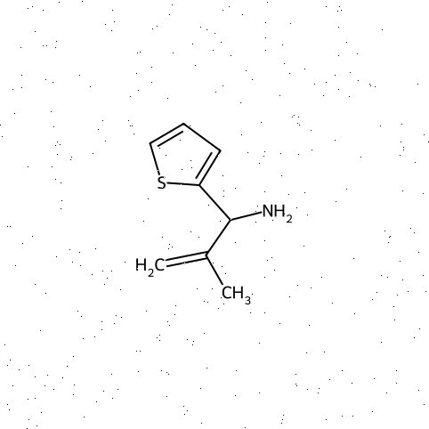 C=C(C)C(N)c1cccs1